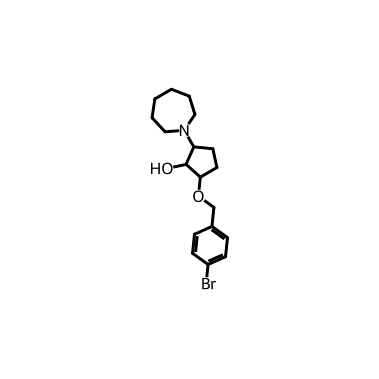 OC1C(OCc2ccc(Br)cc2)CCC1N1CCCCCC1